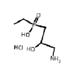 CCP(=O)(O)CC(O)CN.Cl